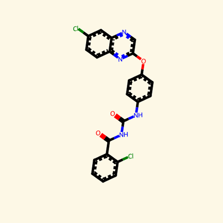 O=C(NC(=O)c1ccccc1Cl)Nc1ccc(Oc2cnc3cc(Cl)ccc3n2)cc1